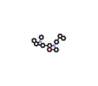 c1ccc(-c2ccccc2N(c2ccc(-c3ccc4c5ccc6ccccc6c5n(-c5ccccc5)c4c3)cc2)c2ccc(-c3cccc4ccccc34)cc2)cc1